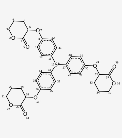 O=C1OCCCC1Oc1ccc([S+](c2ccc(OC3CCCOC3=O)cc2)c2ccc(OC3CCCOC3=O)cc2)cc1